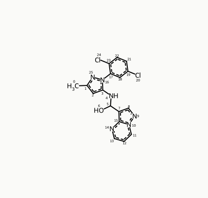 Cc1cc(NC(O)c2cnn3cccnc23)n(-c2cc(Cl)ccc2Cl)n1